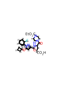 CCOC(=O)N1CCN(C(=O)C(CCC(=O)O)NC(=O)c2cc(OC3(C(=O)OCC)CCC3)n(-c3ccccc3F)n2)CC1